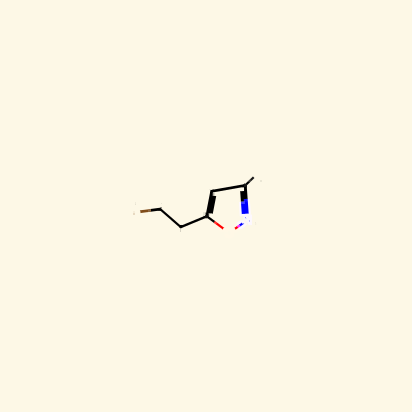 O=C(O)c1cc(CCBr)on1